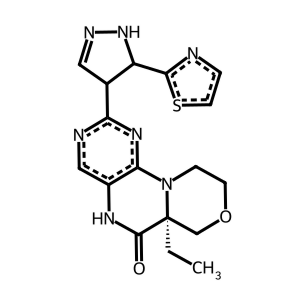 CC[C@@]12COCCN1c1nc(C3C=NNC3c3nccs3)ncc1NC2=O